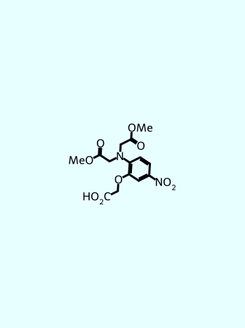 COC(=O)CN(CC(=O)OC)c1ccc([N+](=O)[O-])cc1OCC(=O)O